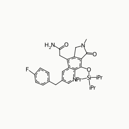 CC(C)[Si](Oc1c2c(c(CC(N)=O)c3cc(Cc4ccc(F)cc4)cnc13)CN(C)C2=O)(C(C)C)C(C)C